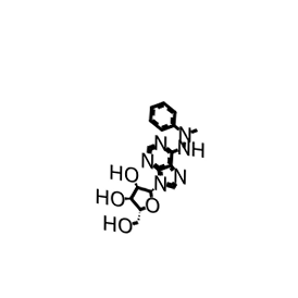 CN(Nc1ncnc2c1ncn2[C@@H]1O[C@H](CO)[C@@H](O)[C@H]1O)c1ccccc1